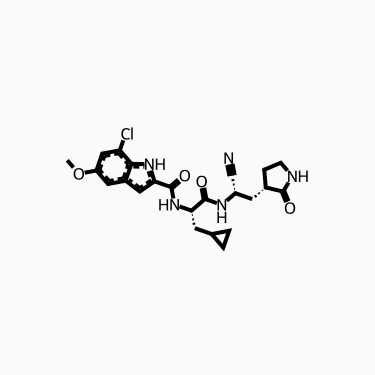 COc1cc(Cl)c2[nH]c(C(=O)N[C@@H](CC3CC3)C(=O)N[C@H](C#N)C[C@@H]3CCNC3=O)cc2c1